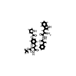 CC(C(=O)O)c1ccccc1.CC(C)(C)OC(=O)NC(Cc1ccc(OC(=O)[C@H]2CCCN2)cc1)C(=O)O.NC(Cc1c[nH]c2ccccc12)C(=O)O